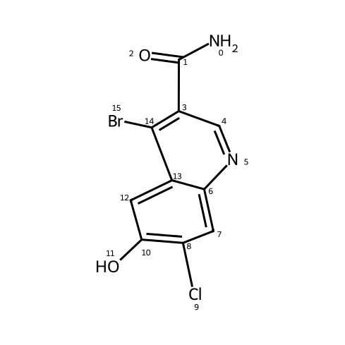 NC(=O)c1cnc2cc(Cl)c(O)cc2c1Br